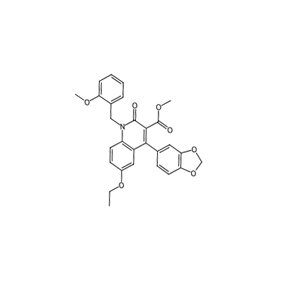 CCOc1ccc2c(c1)c(-c1ccc3c(c1)OCO3)c(C(=O)OC)c(=O)n2Cc1ccccc1OC